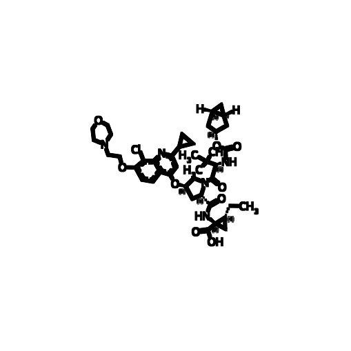 CC[C@@H]1C[C@]1(NC(=O)[C@@H]1C[C@@H](Oc2cc(C3CC3)nc3c(Cl)c(OCCN4CCOCC4)ccc23)CN1C(=O)[C@@H](NC(=O)O[C@@H]1C[C@@H]2C[C@@H]2C1)C(C)(C)C)C(=O)O